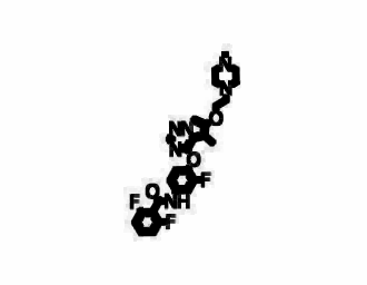 Cc1c(OCCN2CCN(C)CC2)cn2ncnc(Oc3ccc(NC(=O)c4c(F)cccc4F)cc3F)c12